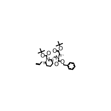 C=CC[C@H]1CCC[C@@H](CN(C(=O)OCc2ccccc2)[C@@H](C)C(=O)OC(C)(C)C)N1C(=O)OC(C)(C)C